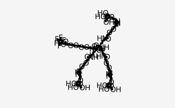 O=C(CCOCCOCCn1cc(CCO[C@H]2C[C@@H](O)[C@@H](O)[C@@H](CO)O2)nn1)NCCCC[C@H](NC(=O)CCCNC(=O)CCOCCOCCn1cc(CCO[C@H]2C[C@@H](O)[C@@H](O)[C@@H](CO)O2)nn1)C(=O)N[C@@H](CCCCNC(=O)CCOCCOCCn1cc(CCO[C@H]2C[C@@H](O)[C@@H](O)[C@@H](CO)O2)nn1)C(=O)NCCOCCOCCOCCOCCC(=O)Oc1c(F)c(F)c(F)c(F)c1F